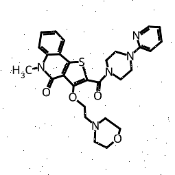 Cn1c(=O)c2c(OCCN3CCOCC3)c(C(=O)N3CCN(c4ccccn4)CC3)sc2c2ccccc21